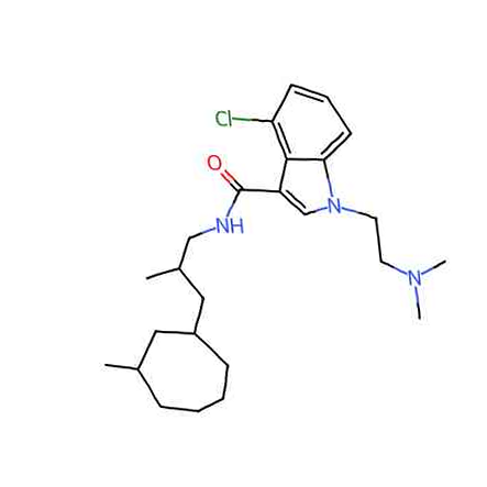 CC1CCCCC(CC(C)CNC(=O)c2cn(CCN(C)C)c3cccc(Cl)c23)C1